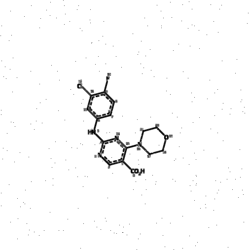 O=C(O)c1cnc(Nc2ccc(F)c(Cl)c2)nc1N1CCOCC1